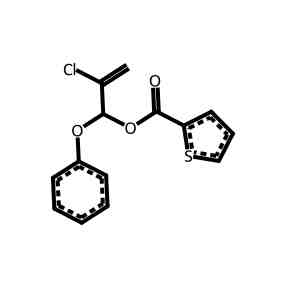 C=C(Cl)C(OC(=O)c1cccs1)Oc1ccccc1